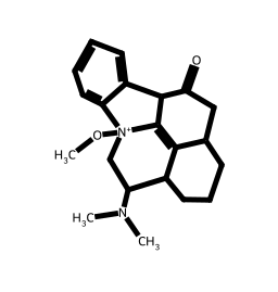 CO[N+]12CC(N(C)C)C3CCCC4CC(=O)C(C1=C43)c1ccccc12